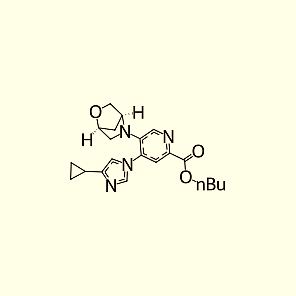 CCCCOC(=O)c1cc(-n2cnc(C3CC3)c2)c(N2C[C@@H]3C[C@H]2CO3)cn1